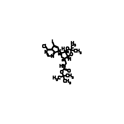 CC(C)(C)OC(=O)NC[C@H]1C[C@@H](n2cc(I)c3c(Cl)ncnc32)[C@@H]2OC(C)(C)O[C@H]12